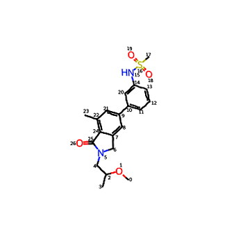 COC(C)CN1Cc2cc(-c3cccc(NS(C)(=O)=O)c3)cc(C)c2C1=O